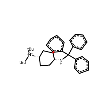 CC(C)(C)[N+]([C@H]1CC[C@@H](NC(c2ccccc2)(c2ccccc2)c2ccccc2)CC1)C(C)(C)C